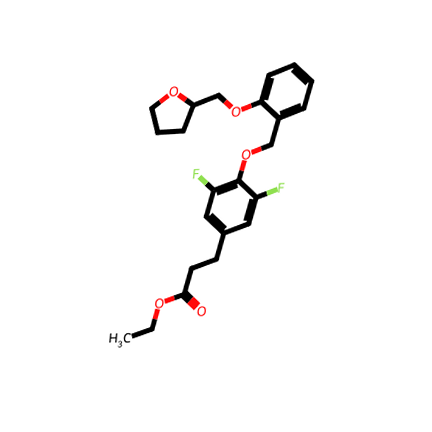 CCOC(=O)CCc1cc(F)c(OCc2ccccc2OCC2CCCO2)c(F)c1